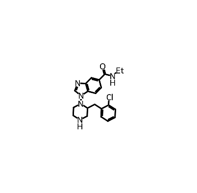 CCNC(=O)c1ccc2c(c1)ncn2N1CCNCC1Cc1ccccc1Cl